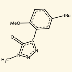 COc1ccc(C(C)(C)C)cc1-n1nnn(C)c1=O